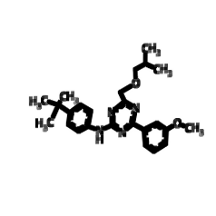 COc1cccc(-c2nc(COCC(C)C)nc(Nc3ccc(C(C)(C)C)cc3)n2)c1